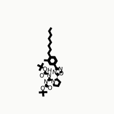 CCCCCCCCc1ccc(-c2noc([C@@H]3CCCN3/C(=N\C(=O)OC(C)(C)C)NC(=O)OC(C)(C)C)n2)cc1C